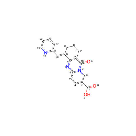 O=C(O)c1ccc2nc3c(c(=O)n2c1)CCCC3=Cc1ccccn1